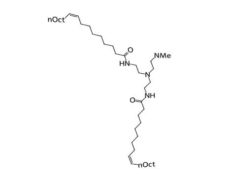 CCCCCCCC/C=C\CCCCCCCC(=O)NCCN(CCNC)CCNC(=O)CCCCCCC/C=C\CCCCCCCC